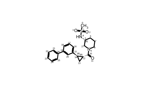 CS(=O)(=O)N[C@@H]1CCCN(C(=O)[C@@H]2C[C@H]2c2cccc(-c3ccccc3)c2)C1